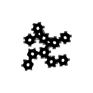 c1ccc(-c2cccc(-c3cc(-c4cccc(-c5ccccc5)c4)cc(-n4c5ccc(-c6ccccc6)cc5c5cc6c7ccccc7n(-c7ccccc7)c6cc54)c3)c2)cc1